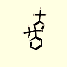 FC(F)(F)C1=CC(c2ccccn2)(C(F)(F)F)N=N1